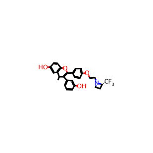 CC1C(c2cccc(O)c2)=C(c2ccc(OCCN3CC[C@H]3C(F)(F)F)cc2)Oc2ccc(O)cc21